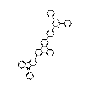 c1ccc(-c2cc(-c3ccc(-c4ccc5c6ccc(-c7ccc8c(c7)c7ccccc7n8-c7ccccc7)cc6c6ccccc6c5c4)cc3)nc(-c3ccccc3)n2)cc1